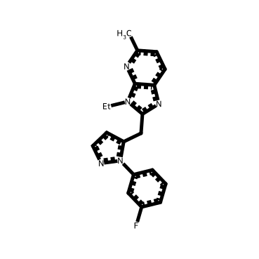 CCn1c(Cc2ccnn2-c2cccc(F)c2)nc2ccc(C)nc21